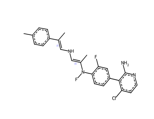 C/C(=C\N/C=C(\C)N(F)c1ccc(-c2c(Cl)ccnc2N)cc1F)c1ccc(C)cc1